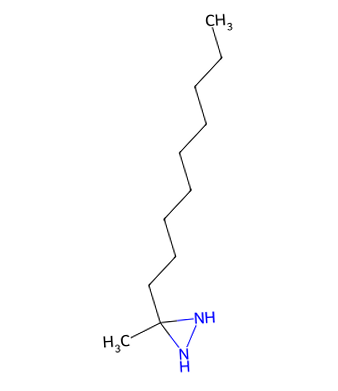 CCCCCCCCCC1(C)NN1